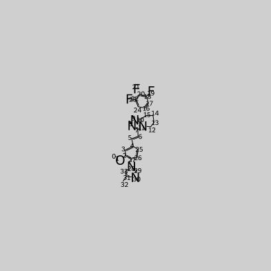 COc1cc(/C=C/c2nnc3n2CCC[C@H]3c2cc(F)c(F)c(F)c2)ccc1-n1cnc(C)c1